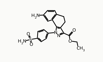 CCOC(=O)c1nn(-c2ccc(S(N)(=O)=O)cc2)c2c1CCc1ccc(N)cc1-2